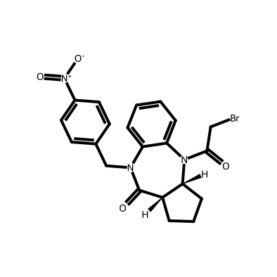 O=C1[C@H]2CCC[C@H]2N(C(=O)CBr)c2ccccc2N1Cc1ccc([N+](=O)[O-])cc1